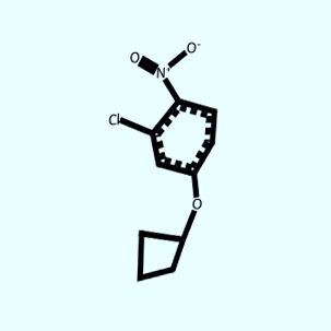 O=[N+]([O-])c1ccc(OC2CCC2)cc1Cl